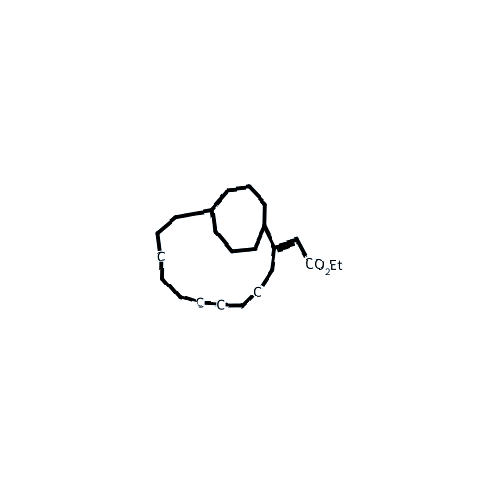 CCOC(=O)C=C1CCCCCCCCCCC2CCCC1CCC2